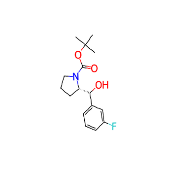 CC(C)(C)OC(=O)N1CCC[C@H]1C(O)c1cccc(F)c1